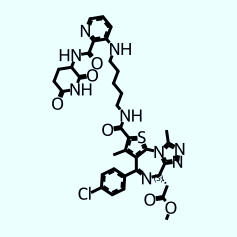 COC(=O)C[C@@H]1N=C(c2ccc(Cl)cc2)c2c(sc(C(=O)NCCCCCNc3cccnc3C(=O)NC3CCC(=O)NC3=O)c2C)-n2c(C)nnc21